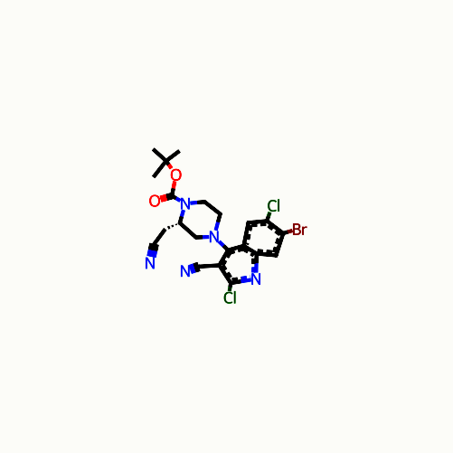 CC(C)(C)OC(=O)N1CCN(c2c(C#N)c(Cl)nc3cc(Br)c(Cl)cc23)C[C@@H]1CC#N